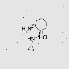 Cl.N[C@H]1CCCC[C@H]1CNC1CC1